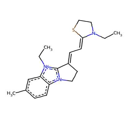 CCN1CCSC1=CC=C1CCn2c1[n+](CC)c1cc(C)ccc12